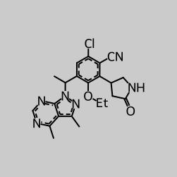 CCOc1c(C(C)n2nc(C)c3c(C)ncnc32)cc(Cl)c(C#N)c1C1CNC(=O)C1